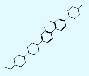 CCC1CCC(C2CCC(c3ccc(-c4ccc(C5CCC(C)CC5)cc4F)c(F)c3)CC2)CC1